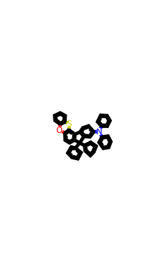 c1ccc(N(c2ccccc2)c2ccc3c(c2)C(c2ccccc2)(c2ccccc2)c2ccc4c(c2-3)Sc2ccccc2O4)cc1